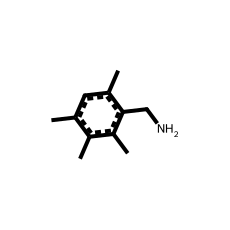 Cc1cc(C)c(CN)c(C)c1C